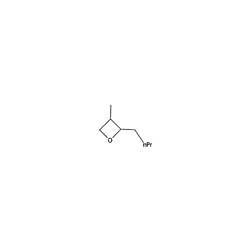 [CH2]CCCC1OCC1C